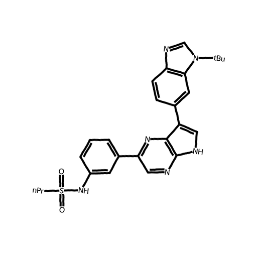 CCCS(=O)(=O)Nc1cccc(-c2cnc3[nH]cc(-c4ccc5ncn(C(C)(C)C)c5c4)c3n2)c1